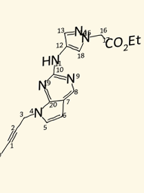 CC#CCn1ccc2cnc(Nc3cnn(CC(=O)OCC)c3)nc21